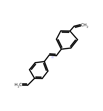 C=Cc1ccc(/C=C/c2ccc(C=C)cc2)cc1